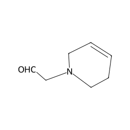 O=CCN1CC=CCC1